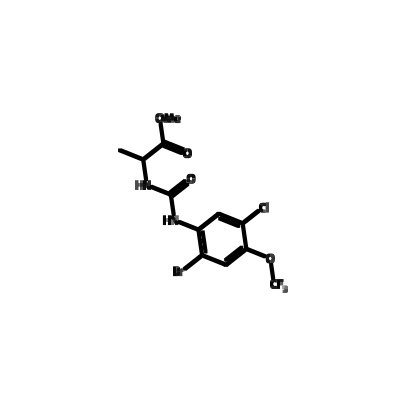 COC(=O)C(C)NC(=O)Nc1cc(Cl)c(OC(F)(F)F)cc1Br